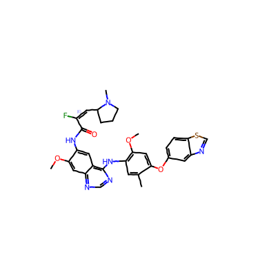 COc1cc2ncnc(Nc3cc(C)c(Oc4ccc5scnc5c4)cc3OC)c2cc1NC(=O)/C(F)=C\C1CCCN1C